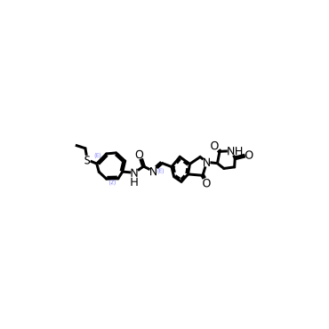 CCS/C1=C/C=C=C(NC(=O)/N=C/c2ccc3c(c2)CN(C2CCC(=O)NC2=O)C3=O)/C=C\C1